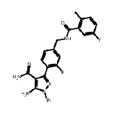 Cc1ccc(F)cc1C(=O)NCc1ccc(-c2nn(C(C)C)c(N)c2C(N)=O)c(F)c1